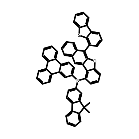 CC1(C)c2ccccc2-c2ccc(N(c3ccc4c5ccccc5c5ccccc5c4c3)c3cccc4oc5c(-c6cccc7c6sc6ccccc67)c6ccccc6cc5c34)cc21